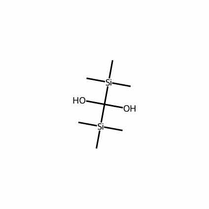 C[Si](C)(C)C(O)(O)[Si](C)(C)C